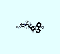 C[C@H](/C=C/S(C)(=O)=O)NC(=O)c1cnc(N2CCCC2c2ccccc2Cl)c(F)c1